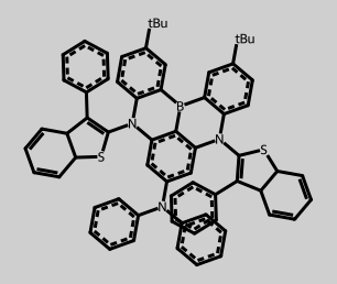 CC(C)(C)c1ccc2c(c1)B1c3cc(C(C)(C)C)ccc3N(C3=C(c4ccccc4)C4C=CC=CC4S3)c3cc(N(c4ccccc4)c4ccccc4)cc(c31)N2C1=C(c2ccccc2)C2C=CC=CC2S1